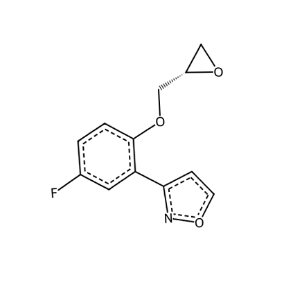 Fc1ccc(OC[C@@H]2CO2)c(-c2ccon2)c1